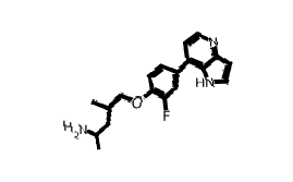 CC(N)CC(C)COc1ccc(-c2ccnc3cc[nH]c23)cc1F